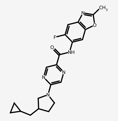 Cc1nc2cc(F)c(NC(=O)c3cnc(N4CCC(CC5CC5)C4)cn3)cc2o1